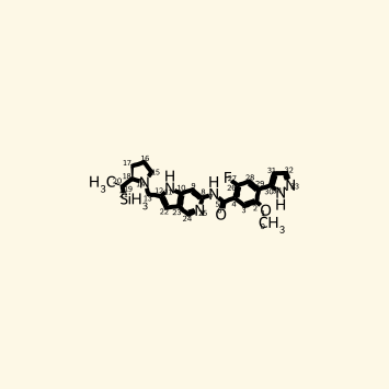 COc1cc(C(=O)Nc2cc3[nH]c(CN4CCC[C@@H]4[C@@H](C)[SiH3])cc3cn2)c(F)cc1-c1ccn[nH]1